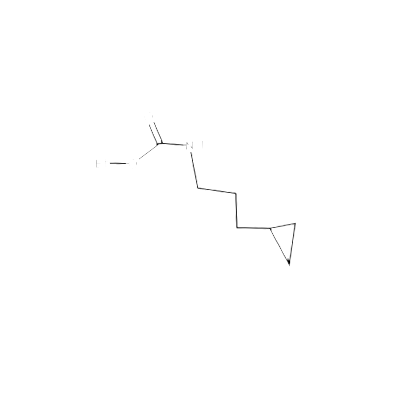 CCOC(=O)NCCCC1CC1